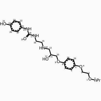 CCCOCCOc1ccc(OCC(O)CNCCNC(=O)Nc2ccc(O)cc2)cc1